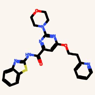 O=C(Nc1nc2ccccc2s1)c1cc(OCCc2ccccn2)nc(N2CCOCC2)n1